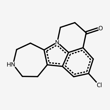 O=C1CCn2c3c(c4cc(Cl)cc1c42)CCNCC3